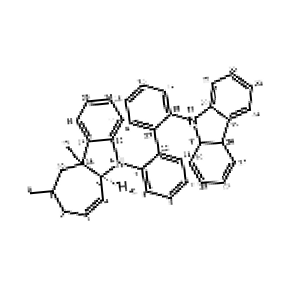 CC1CC=C[C@@H]2N(c3ccccc3-c3ccccc3N3c4ccccc4C4C=CC=CC43)c3ccccc3C2(C)C1